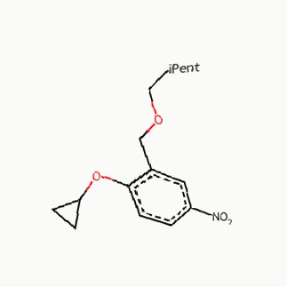 CCCC(C)COCc1cc([N+](=O)[O-])ccc1OC1CC1